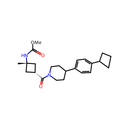 COC(=O)N[C@]1(C)C[C@H](C(=O)N2CCC(c3ccc(C4CCC4)cc3)CC2)C1